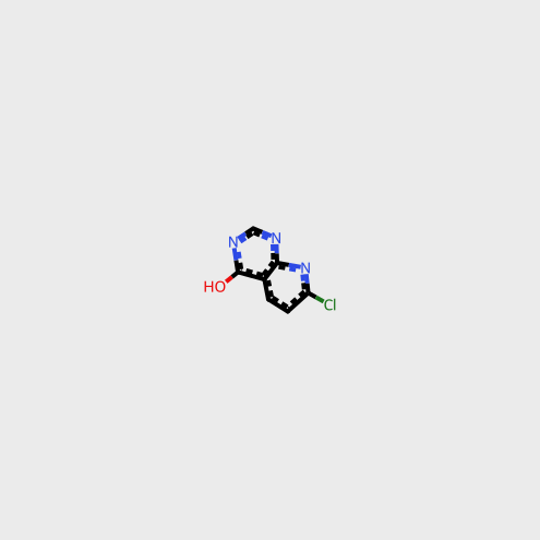 Oc1ncnc2nc(Cl)ccc12